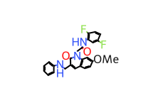 COc1ccc2cc(CNc3ccccc3)c(=O)n(CC(=O)Nc3cc(F)ccc3F)c2c1